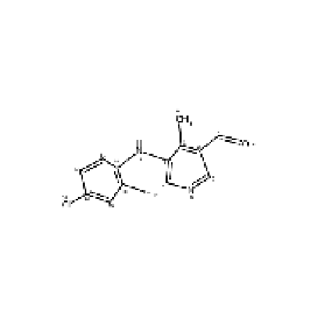 Cc1c(C=O)cncc1Nc1ccc(Cl)cc1F